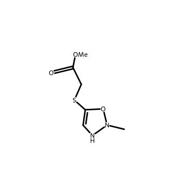 [CH2]OC(=O)CSC1=CNN(C)O1